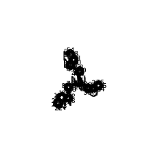 c1cc(-c2nc(-c3cccc(-c4ccnc5c4ccc4cccnc45)c3)nc(-c3ccc4oc5ccccc5c4c3)n2)cc(-c2ccnc3c2ccc2cccnc23)c1